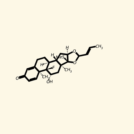 C/C=C/C1O[C@@H]2C[C@H]3[C@@H]4CCC5=CC(=O)C=C[C@]5(C)[C@@]4(F)[C@@H](O)C[C@]3(C)[C@@]2(SC)O1